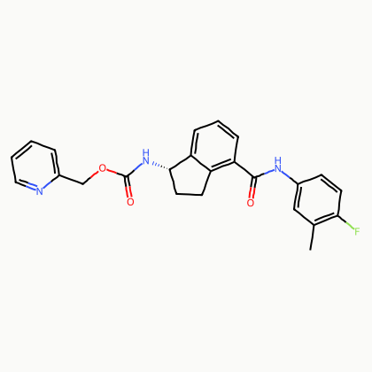 Cc1cc(NC(=O)c2cccc3c2CC[C@@H]3NC(=O)OCc2ccccn2)ccc1F